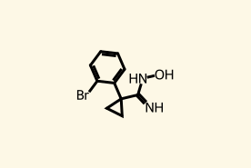 N=C(NO)C1(c2ccccc2Br)CC1